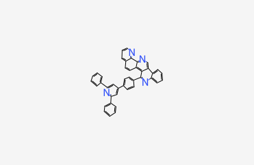 c1ccc(-c2cc(-c3ccc(-c4nc5ccccc5c5cnc6c(ccc7cccnc76)c45)cc3)cc(-c3ccccc3)n2)cc1